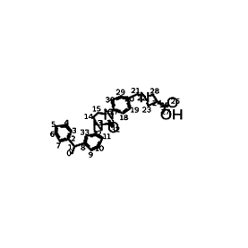 CC(c1ccccc1)c1cccc(N2CCN(c3ccc(CN4CC(C(=O)O)C4)cc3)C2=O)c1